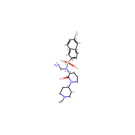 CC(C)N1CCC(N2CCC[C@H](N(CN)S(=O)(=O)c3ccc4cc(Cl)ccc4c3)C2=O)CC1